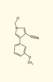 COc1cccc(-c2cn(CCl)cc2C#N)c1